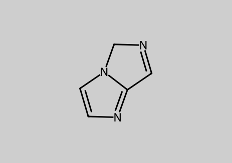 C1=NCn2ccnc21